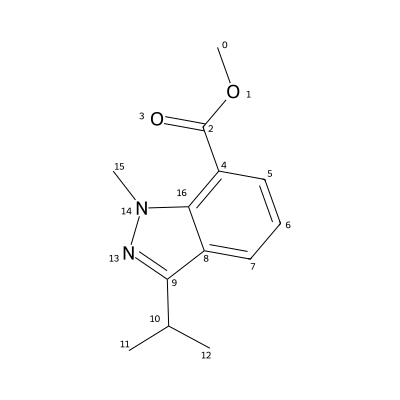 COC(=O)c1cccc2c(C(C)C)nn(C)c12